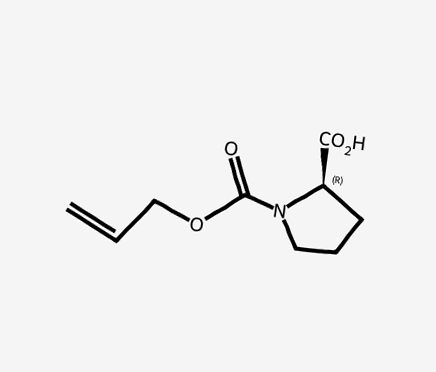 C=CCOC(=O)N1CCC[C@@H]1C(=O)O